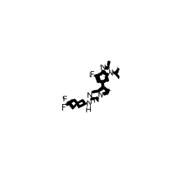 Cc1nc2c(F)cc(-c3ccn4nc(NC5CC6(C5)CC(F)(F)C6)ncc34)cc2n1C(C)C